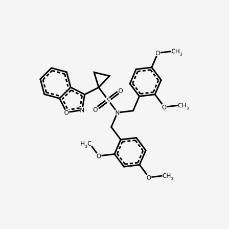 COc1ccc(CN(Cc2ccc(OC)cc2OC)S(=O)(=O)C2(c3noc4ccccc34)CC2)c(OC)c1